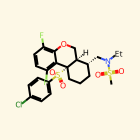 CCN(C[C@@H]1CCC[C@@]2(S(=O)(=O)c3ccc(Cl)cc3)c3c(F)ccc(F)c3OC[C@@H]12)S(C)(=O)=O